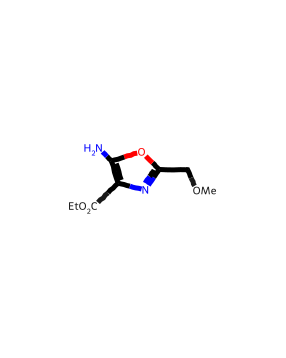 CCOC(=O)c1nc(COC)oc1N